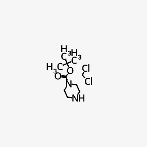 CC(C)(C)OC(=O)N1CCNCC1.ClCCl